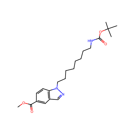 COC(=O)c1ccc2c(cnn2CCCCCCCCNC(=O)OC(C)(C)C)c1